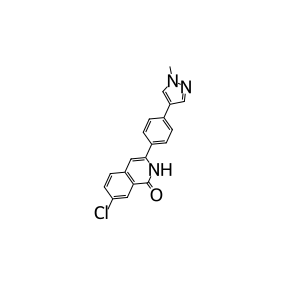 Cn1cc(-c2ccc(-c3cc4ccc(Cl)cc4c(=O)[nH]3)cc2)cn1